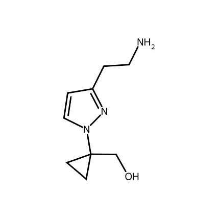 NCCc1ccn(C2(CO)CC2)n1